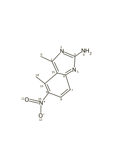 Cc1nc(N)nc2ccc([N+](=O)[O-])c(C)c12